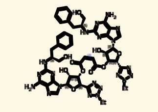 CCn1nnc([C@H]2O[C@@H](n3cnc4c(N)nc(N[C@H](CO)Cc5ccccc5)nc43)[C@H](O)[C@@H]2OC(=O)/C=C\C(=O)O[C@H]2[C@@H](O)[C@H](n3cnc4c(N)nc(N[C@H](CO)Cc5ccccc5)nc43)O[C@@H]2c2nnn(CC)n2)n1